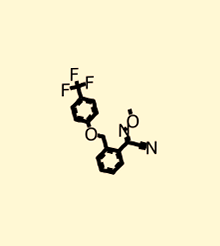 CON=C(C#N)c1ccccc1COc1ccc(C(F)(F)F)cc1